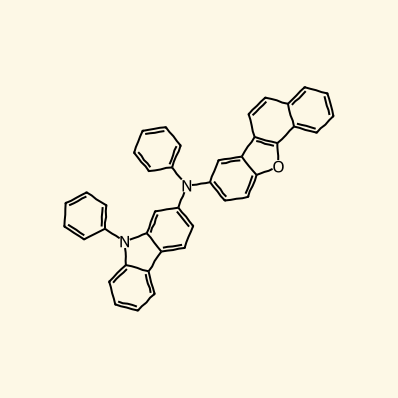 c1ccc(N(c2ccc3oc4c5ccccc5ccc4c3c2)c2ccc3c4ccccc4n(-c4ccccc4)c3c2)cc1